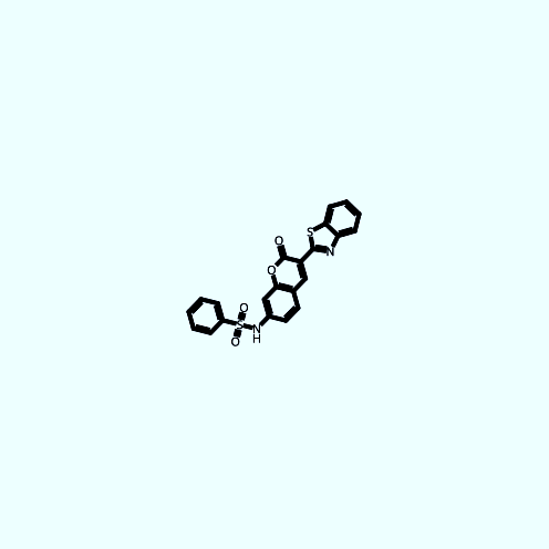 O=c1oc2cc(NS(=O)(=O)c3ccccc3)ccc2cc1-c1nc2ccccc2s1